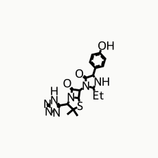 CCC1NC(c2ccc(O)cc2)C(=O)N1C1C(=O)N2C1SC(C)(C)C2c1nnn[nH]1